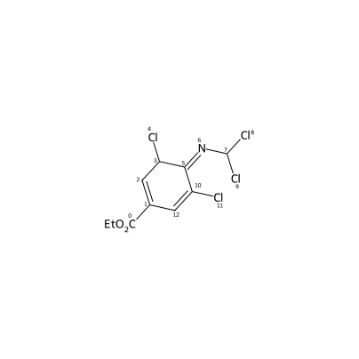 CCOC(=O)C1=CC(Cl)C(=NC(Cl)Cl)C(Cl)=C1